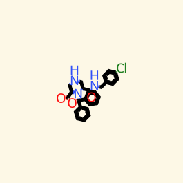 O=C(NCc1ccc(Cl)cc1)C1CNCC2C(=O)OC(c3ccccc3)(c3ccccc3)N12